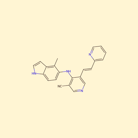 Cc1c(Nc2c(C#N)cncc2C=Cc2ccccn2)ccc2[nH]ccc12